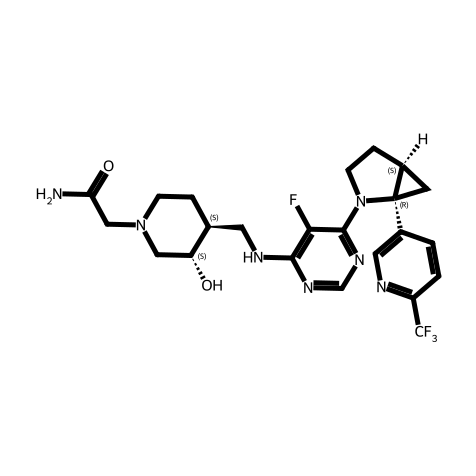 NC(=O)CN1CC[C@@H](CNc2ncnc(N3CC[C@H]4C[C@]43c3ccc(C(F)(F)F)nc3)c2F)[C@H](O)C1